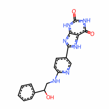 O=c1[nH]c(=O)c2[nH]c(-c3ccc(NCC(O)c4ccccc4)nc3)nc2[nH]1